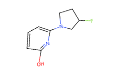 Oc1cccc(N2CCC(F)C2)n1